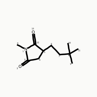 CN1C(=O)CC(CCC(C)(C)C)C1=O